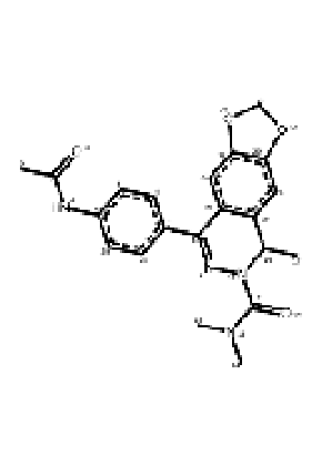 CC(=O)Nc1ccc(C2=NN(C(=O)N(C)C)C(C)c3cc4c(cc32)OCO4)cc1